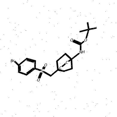 CC(C)(C)OC(=O)NC12CCC(CS(=O)(=O)c3ccc(Br)cc3)(CC1)CC2